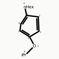 [CH]CCCCCc1ccc(OC(C)C)cc1